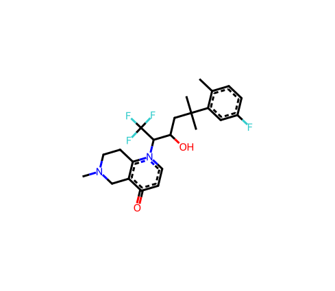 Cc1ccc(F)cc1C(C)(C)CC(O)C(n1ccc(=O)c2c1CCN(C)C2)C(F)(F)F